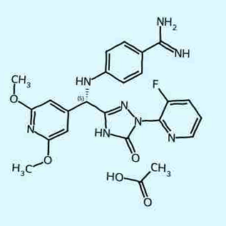 CC(=O)O.COc1cc([C@H](Nc2ccc(C(=N)N)cc2)c2nn(-c3ncccc3F)c(=O)[nH]2)cc(OC)n1